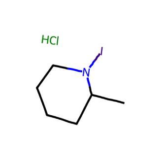 CC1CCCCN1I.Cl